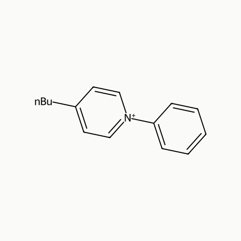 CCCCc1cc[n+](-c2ccccc2)cc1